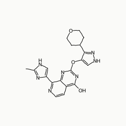 Cc1nc(-c2nccc3c(O)nc(Oc4c[nH]nc4C4CCOCC4)nc23)c[nH]1